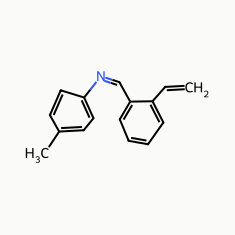 C=Cc1ccccc1/C=N\c1ccc(C)cc1